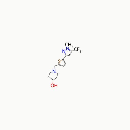 Cn1nc(-c2ccc(CN3CCC(O)CC3)s2)cc1C(F)(F)F